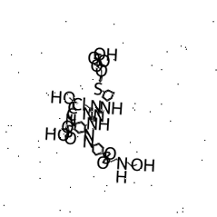 O=S(=O)(O)OOC#CSc1cccc(Nc2nc(Cl)nc(Nc3cc(N=C=C=CO)c(S(=O)(=O)O)cc3N=Nc3ccc(S(=O)(=O)CCNCCO)cc3)n2)c1